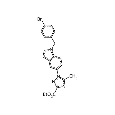 CCOC(=O)c1nc(C)n(-c2ccc3c(ccn3Cc3ccc(Br)cc3)c2)n1